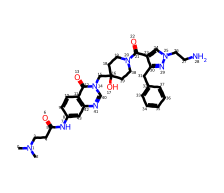 CN(C)CCC(=O)Nc1ccc2c(=O)n(CC3(O)CCN(C(=O)c4cn(CCN)nc4Cc4ccccc4)CC3)cnc2c1